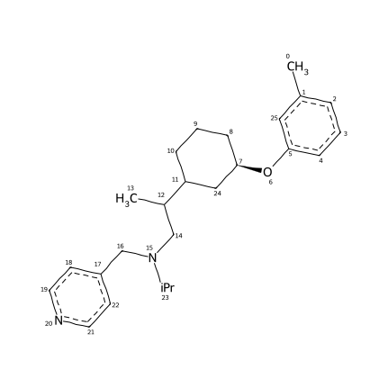 Cc1cccc(O[C@@H]2CCCC(C(C)CN(Cc3ccncc3)C(C)C)C2)c1